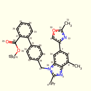 CCCc1nc2c(C)cc(-c3coc(C)n3)cc2n1Cc1ccc(-c2ccccc2C(=O)OC(C)(C)C)cc1